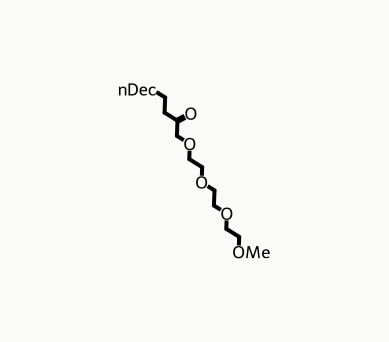 CCCCCCCCCCCCC(=O)COCCOCCOCCOC